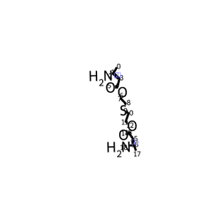 C/C(N)=C/C(=O)OCCSCCOC(=O)/C=C(/C)N